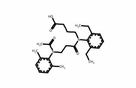 CCc1cccc(CC)c1N(CCCC(=O)O)C(=O)CCN(C(C)=O)c1c(C)cccc1C